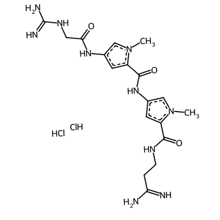 Cl.Cl.Cn1cc(NC(=O)c2cc(NC(=O)CNC(=N)N)cn2C)cc1C(=O)NCCC(=N)N